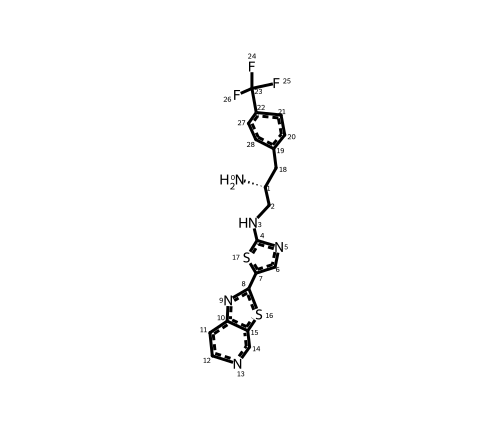 N[C@@H](CNc1ncc(-c2nc3ccncc3s2)s1)Cc1ccc(C(F)(F)F)cc1